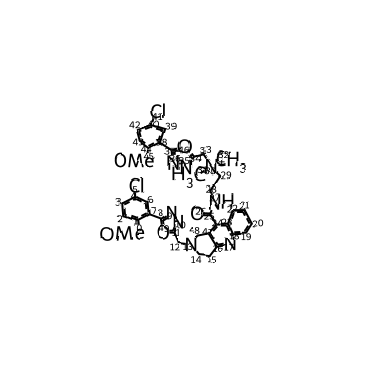 COc1ccc(Cl)cc1-c1nnc(CN2CCc3nc4ccccc4c(C(=O)NCC[N+](C)(C)Cc4nnc(-c5cc(Cl)ccc5OC)o4)c3C2)o1